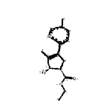 CCOC(=O)[C@@H]1CC(c2ccc(C)cn2)=C(C)[C@@H]1O